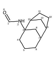 O=CNC12CCCC(C1)C1CCC2C1